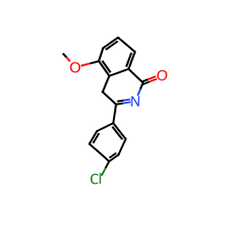 COc1cccc2c1CC(c1ccc(Cl)cc1)=NC2=O